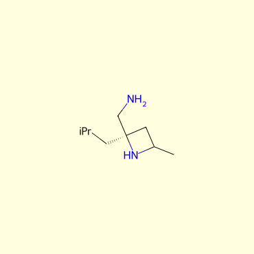 CC(C)C[C@]1(CN)CC(C)N1